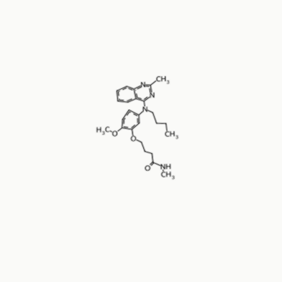 CCCCN(c1ccc(OC)c(OCCCC(=O)NC)c1)c1nc(C)nc2ccccc12